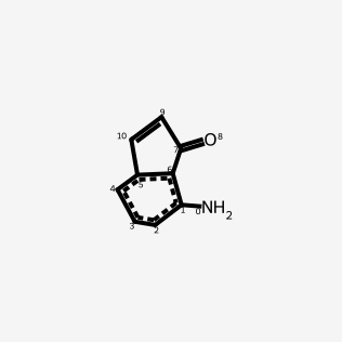 Nc1cccc2c1C(=O)C=C2